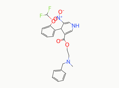 CN(CCOC(=O)C1=CNC=C([N+](=O)[O-])C1c1ccccc1OC(F)F)Cc1ccccc1